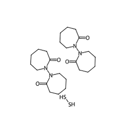 O=C1CCCCCN1N1CCCCCC1=O.O=C1CCCCCN1N1CCCCCC1=O.SS